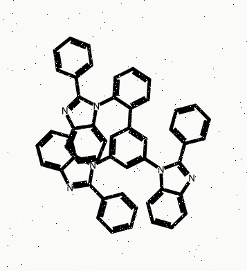 c1ccc(-c2nc3ccccc3n2-c2cc(-c3ccccc3-n3c(-c4ccccc4)nc4ccccc43)cc(-n3c(-c4ccccc4)nc4ccccc43)c2)cc1